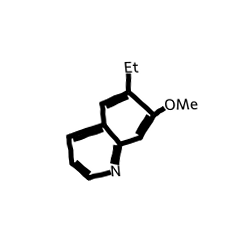 CCc1cc2cccnc2cc1OC